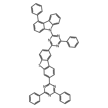 c1ccc(-c2nc(-c3ccccc3)nc(-c3ccc4c(c3)sc3ccc(-c5nc(-c6ccccc6)nc(-n6c7ccccc7c7c(-c8ccccc8)cccc76)n5)cc34)n2)cc1